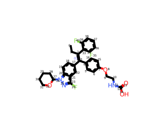 CC/C(=C(/c1ccc(OCCNC(=O)O)cc1)c1ccc2c(c1)c(F)nn2C1CCCCO1)c1c(F)cccc1F